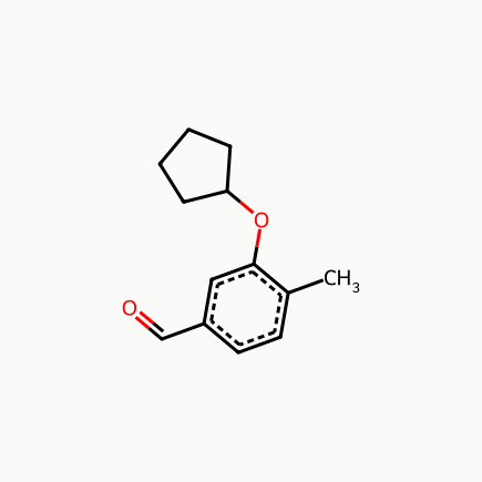 Cc1ccc(C=O)cc1OC1CCCC1